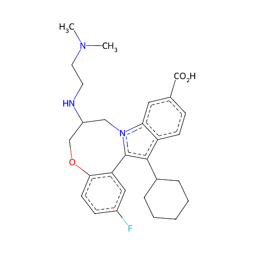 CN(C)CCNC1COc2ccc(F)cc2-c2c(C3CCCCC3)c3ccc(C(=O)O)cc3n2C1